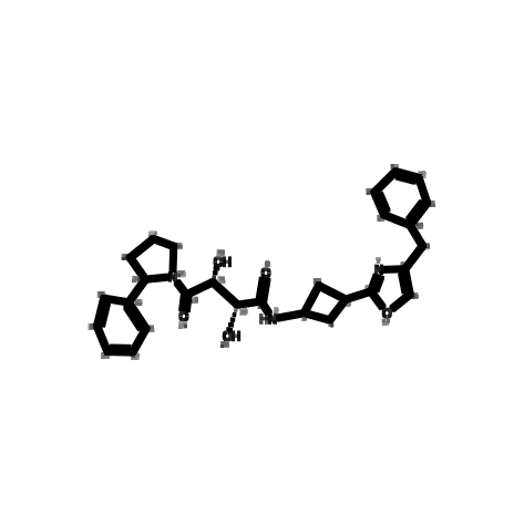 O=C(NC1CC(c2nc(Cc3ccccc3)co2)C1)[C@H](O)[C@@H](O)C(=O)N1CCCC1c1ccccc1